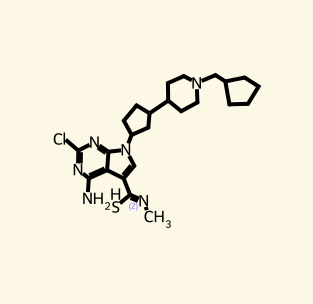 C/N=C(\S)c1cn(C2CCC(C3CCN(CC4CCCC4)CC3)C2)c2nc(Cl)nc(N)c12